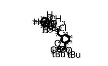 CC(C)(C)OC(=O)Oc1c(C[C@@H](Cl)B2O[C@@H]3C[C@@H]4C[C@@H](C4(C)C)[C@]3(C)O2)cccc1C(=O)OC(C)(C)C